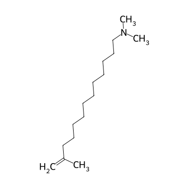 C=C(C)CCCCCCCCCCCN(C)C